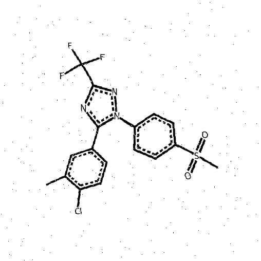 Cc1cc(-c2nc(C(F)(F)F)nn2-c2ccc(S(C)(=O)=O)cc2)ccc1Cl